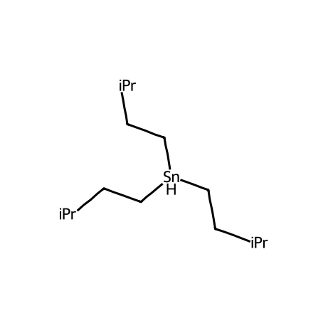 CC(C)C[CH2][SnH]([CH2]CC(C)C)[CH2]CC(C)C